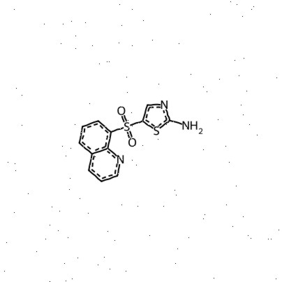 Nc1ncc(S(=O)(=O)c2cccc3cccnc23)s1